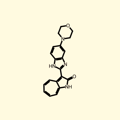 O=c1[nH]c2cccccc-2c1-c1nc2cc(N3CCOCC3)ccc2[nH]1